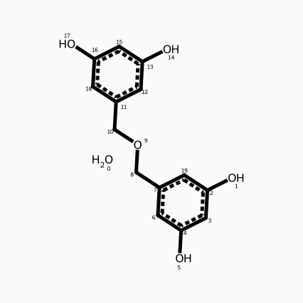 O.Oc1cc(O)cc(COCc2cc(O)cc(O)c2)c1